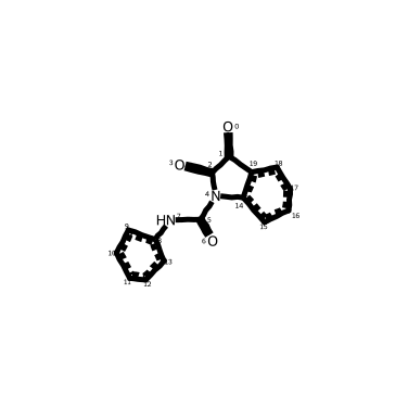 O=C1C(=O)N(C(=O)Nc2ccccc2)c2ccccc21